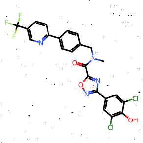 CN(Cc1ccc(-c2ccc(C(F)(F)F)cn2)cc1)C(=O)c1nc(-c2cc(Cl)c(O)c(Cl)c2)no1